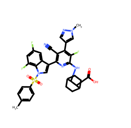 Cc1ccc(S(=O)(=O)n2cc(-c3nc(NC4C5CCC(CC5)C4C(=O)O)c(F)c(-c4cnn(C)c4)c3C#N)c3cc(F)cc(F)c32)cc1